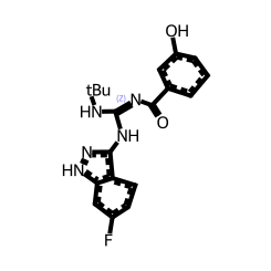 CC(C)(C)N/C(=N/C(=O)c1cccc(O)c1)Nc1n[nH]c2cc(F)ccc12